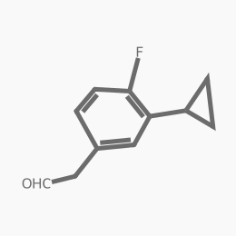 O=CCc1ccc(F)c(C2CC2)c1